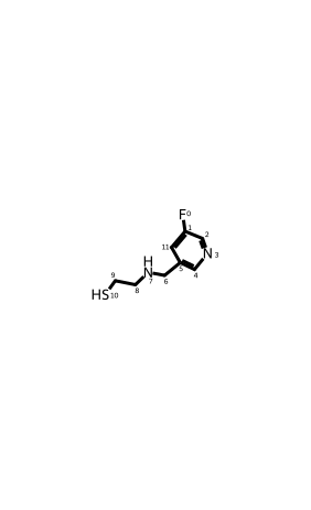 Fc1cncc(CNCCS)c1